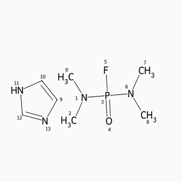 CN(C)P(=O)(F)N(C)C.c1c[nH]cn1